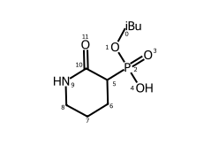 CCC(C)OP(=O)(O)C1CCCNC1=O